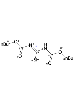 CCCCOC(=O)/N=C(\S)NC(=O)OCCCC